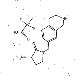 N[C@H]1CCN(Cc2ccc3c(c2)CNCC3)C1=O.O=C(O)C(F)(F)F